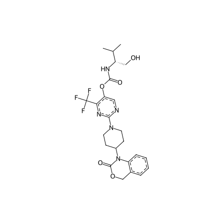 CC(C)[C@H](CO)NC(=O)Oc1cnc(N2CCC(N3C(=O)OCc4ccccc43)CC2)nc1C(F)(F)F